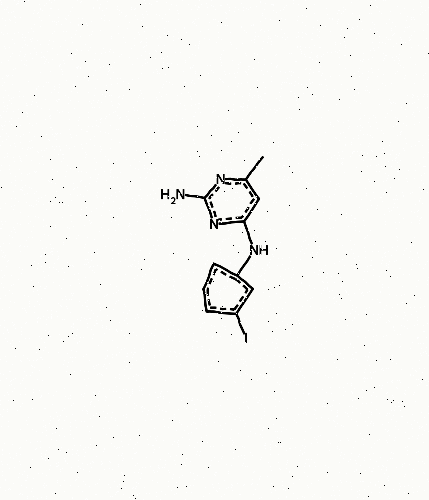 Cc1cc(Nc2cccc(I)c2)nc(N)n1